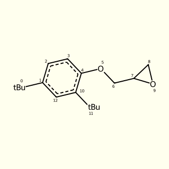 CC(C)(C)c1ccc(OCC2CO2)c(C(C)(C)C)c1